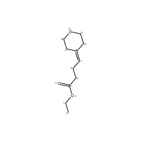 CCOC(=O)CCC=C1CCOCC1